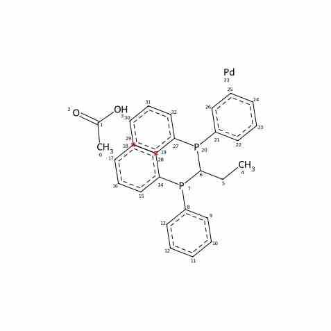 CC(=O)O.CCC(P(c1ccccc1)c1ccccc1)P(c1ccccc1)c1ccccc1.[Pd]